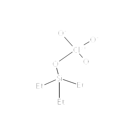 CC[Si](CC)(CC)O[Cl+3]([O-])([O-])[O-]